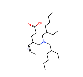 C/C=C\C(CCC(=O)O)CN(CC(CC)CCCC)CC(CC)CCCC